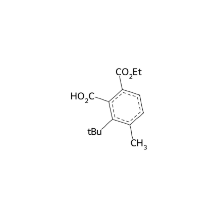 CCOC(=O)c1ccc(C)c(C(C)(C)C)c1C(=O)O